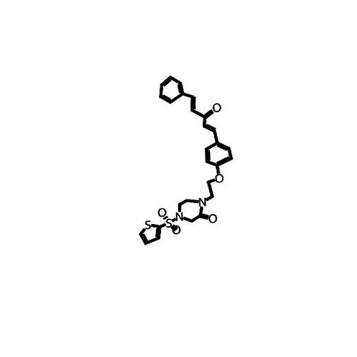 O=C(C=Cc1ccccc1)C=Cc1ccc(OCCN2CCN(S(=O)(=O)c3cccs3)CC2=O)cc1